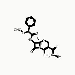 CC(C)OC(=O)C1=C(C(=O)O)N2C(=O)C(NC(=O)C(OC=O)c3ccccc3)[C@H]2SC1